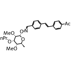 CCCO[C@@H]1[C@H](OC)[C@H](ON=Cc2ccc(C=Cc3ccc(C(C)=O)cc3)cc2)O[C@@H](C)[C@@H]1OC